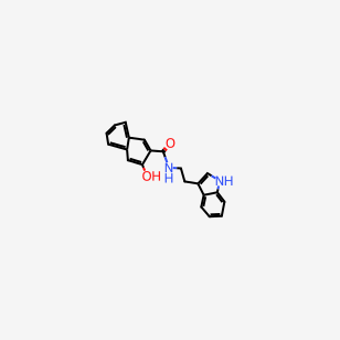 O=C(NCCc1c[nH]c2ccccc12)c1cc2ccccc2cc1O